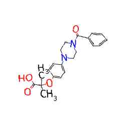 CC(C)(Oc1ccc(N2CCN(C(=O)c3ccccc3)CC2)cc1)C(=O)O